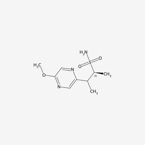 COc1cnc(C(C)[C@H](C)S(N)(=O)=O)cn1